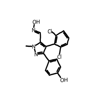 Cn1nc(-c2ccc(O)cc2)c(-c2c(Cl)cccc2Cl)c1/C=N/O